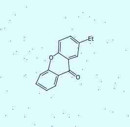 CCc1ccc2oc3ccccc3c(=O)c2c1